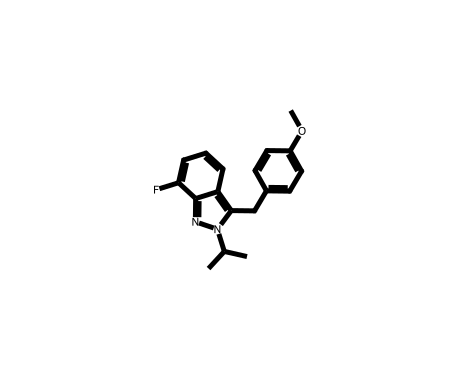 COc1ccc(Cc2c3cccc(F)c3nn2C(C)C)cc1